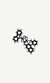 O=C(OCc1ccccc1)[C@@H](Cc1ccc2ccccc2c1)OC(=O)n1c2ccccc2c2ccccc21